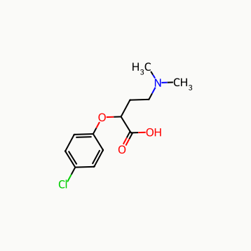 CN(C)CCC(Oc1ccc(Cl)cc1)C(=O)O